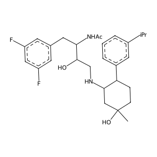 CC(=O)NC(Cc1cc(F)cc(F)c1)C(O)CNC1CC(C)(O)CCC1c1cccc(C(C)C)c1